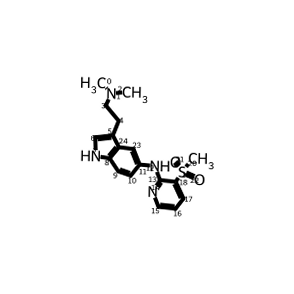 CN(C)CCc1c[nH]c2ccc(Nc3ncccc3S(C)(=O)=O)cc12